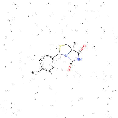 Cc1ccc(C2SC[C@H]3C(=O)NC(=O)N23)cc1